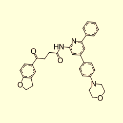 O=C(CCC(=O)c1ccc2c(c1)CCO2)Nc1cc(-c2ccc(N3CCOCC3)cc2)cc(-c2ccccc2)n1